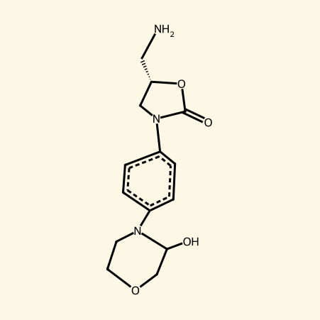 NC[C@H]1CN(c2ccc(N3CCOCC3O)cc2)C(=O)O1